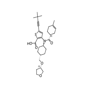 CC1=CC[C@H](C(=O)N(c2cc(C#CC(C)(C)C)sc2C(=O)O)[C@H]2CC[C@H](CO[C@H]3CCOC3)CC2)CC1